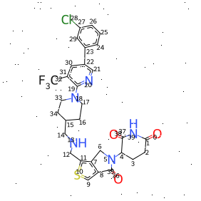 O=C1CCC(N2Cc3c(csc3CNCC3CCN(c4ncc(-c5cccc(Cl)c5)cc4C(F)(F)F)CC3)C2=O)C(=O)N1